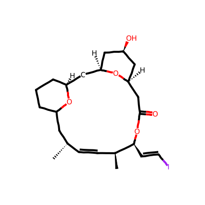 C[C@H]1/C=C/[C@H](C)[C@H](/C=C/I)OC(=O)C[C@@H]2C[C@H](O)C[C@H](C[C@@H]3CCCC(C1)O3)O2